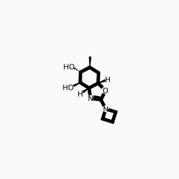 C[C@H]1C[C@@H]2OC(N3CCC3)=N[C@@H]2[C@@H](O)[C@@H]1O